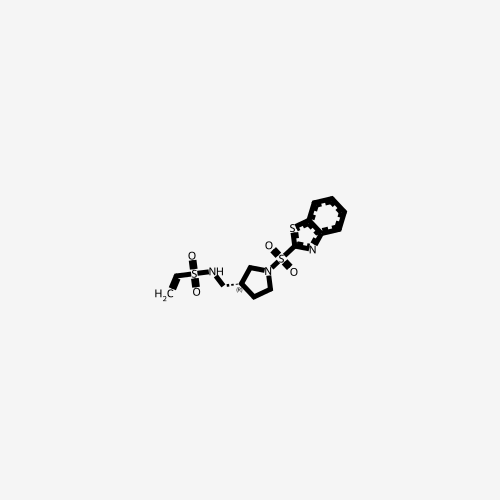 C=CS(=O)(=O)NC[C@H]1CCN(S(=O)(=O)c2nc3ccccc3s2)C1